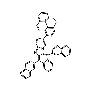 c1ccc2cc(-c3c4ccccc4c(-c4ccc5ccccc5c4)c4c3nc3ccc(-c5ccc6c7c5ccc5cccc(c57)CC6)cn34)ccc2c1